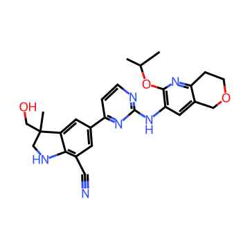 CC(C)Oc1nc2c(cc1Nc1nccc(-c3cc(C#N)c4c(c3)C(C)(CO)CN4)n1)COCC2